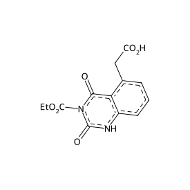 CCOC(=O)n1c(=O)[nH]c2cccc(CC(=O)O)c2c1=O